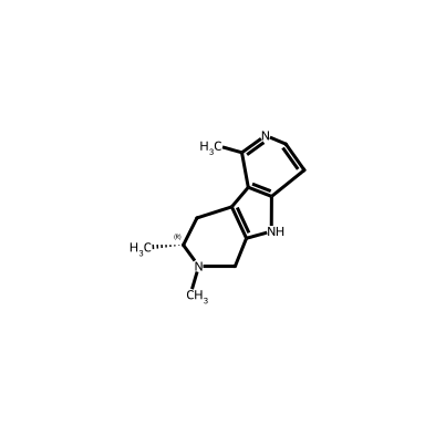 Cc1nccc2[nH]c3c(c12)C[C@@H](C)N(C)C3